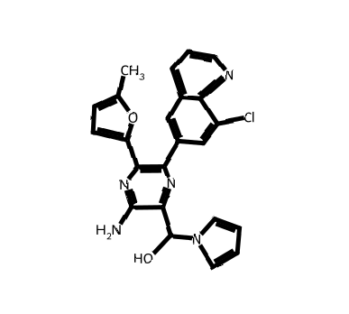 Cc1ccc(-c2nc(N)c(C(O)n3cccc3)nc2-c2cc(Cl)c3ncccc3c2)o1